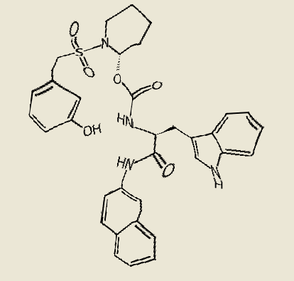 O=C(N[C@@H](Cc1c[nH]c2ccccc12)C(=O)Nc1ccc2ccccc2c1)O[C@H]1CCCCN1S(=O)(=O)Cc1cccc(O)c1